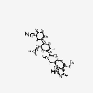 CN(Cc1ccc(CF)c2cn[nH]c12)C(=O)c1ccc(-c2cccc(C#N)c2)c(OC2CC2)c1